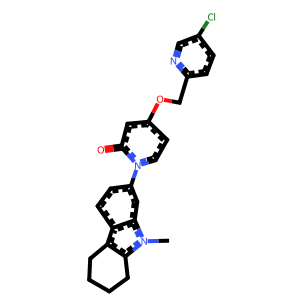 Cn1c2c(c3ccc(-n4ccc(OCc5ccc(Cl)cn5)cc4=O)cc31)CCCC2